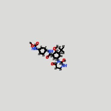 COC(=O)Nc1ccc(NC(=O)c2cc(N3C(=O)CCNC3=O)cc(C(C)(C)C)c2OC)cc1